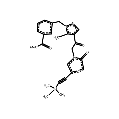 COC(=O)c1cccc(Cn2ncc(C(=O)Cn3cc(C#C[Si](C)(C)C)ccc3=O)c2C)c1